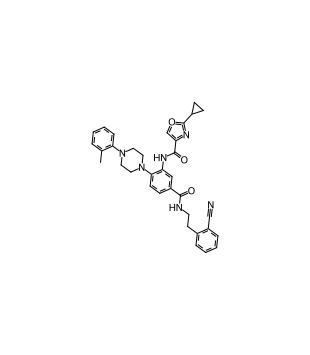 Cc1ccccc1N1CCN(c2ccc(C(=O)NCCc3ccccc3C#N)cc2NC(=O)c2coc(C3CC3)n2)CC1